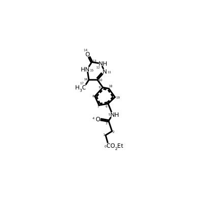 CCOC(=O)CCC(=O)Nc1ccc(C2=NNC(=O)NC2C)cc1